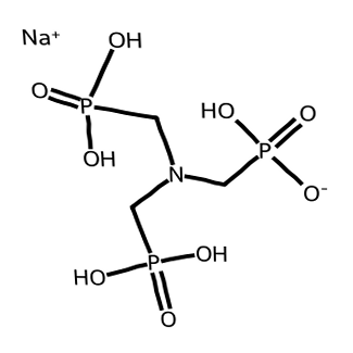 O=P([O-])(O)CN(CP(=O)(O)O)CP(=O)(O)O.[Na+]